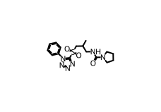 CC(CNC(=O)N1CCCC1)CS(=O)(=O)c1nnnn1-c1ccccc1